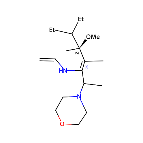 C=CN/C(=C(/C)[C@@](C)(OC)C(CC)CC)C(C)N1CCOCC1